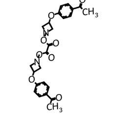 CC(=O)c1ccc(OC2CN(OC(=O)C(=O)ON3CC(Oc4ccc(C(C)=O)cc4)C3)C2)cc1